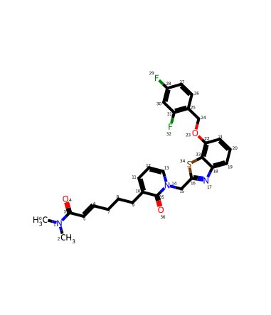 CN(C)C(=O)/C=C/CCCc1cccn(Cc2nc3cccc(OCc4ccc(F)cc4F)c3s2)c1=O